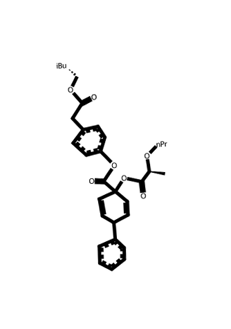 CCCO[C@@H](C)C(=O)OC1(C(=O)Oc2ccc(CC(=O)OC[C@@H](C)CC)cc2)C=CC(c2ccccc2)C=C1